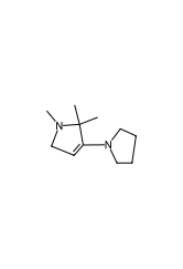 CN1CC=C(N2CCCC2)C1(C)C